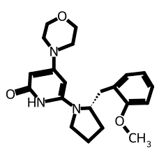 COc1ccccc1C[C@@H]1CCCN1c1cc(N2CCOCC2)cc(=O)[nH]1